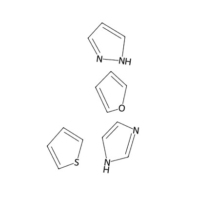 c1c[nH]cn1.c1ccoc1.c1ccsc1.c1cn[nH]c1